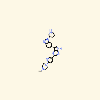 CCN1CCN(c2ccc(-c3cnc4[nH]cc(-c5ccc6ncn(C7CCCNC7)c6c5)c4n3)cn2)CC1